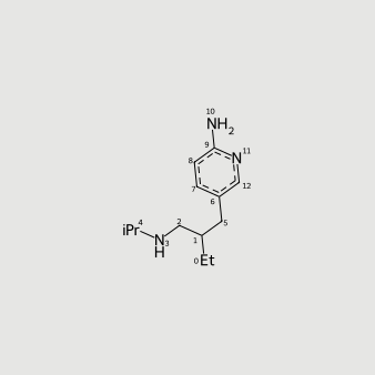 CCC(CNC(C)C)Cc1ccc(N)nc1